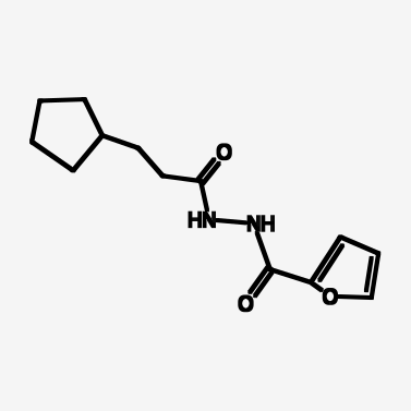 O=C(CCC1CCCC1)NNC(=O)c1ccco1